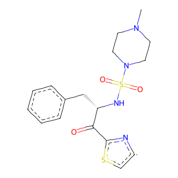 CN1CCN(S(=O)(=O)N[C@@H](Cc2ccccc2)C(=O)c2n[c]cs2)CC1